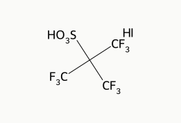 I.O=S(=O)(O)C(C(F)(F)F)(C(F)(F)F)C(F)(F)F